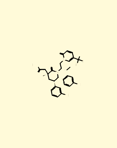 CC[C@@H](Cn1cc(C(F)(F)F)ccc1=O)N1C(=O)[C@@](C)(CC(=O)O)C[C@H](c2cccc(Cl)c2)[C@H]1c1ccc(Cl)cc1